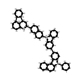 c1ccc(-n2c3ccc(-c4ccc5c(c4)c4ccccc4n5-c4ccc5cc(-c6cc7c8c(cccc8n6)-c6ccccc6-7)ccc5c4)cc3c3c4ccccc4ccc32)cc1